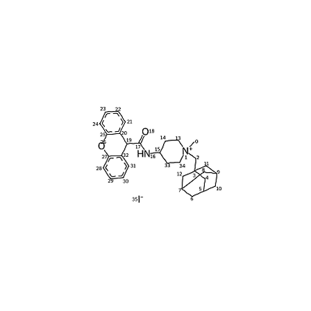 C[N+]1(CC23CC4CC(CC(C4)C2)C3)CCC(NC(=O)C2c3ccccc3Oc3ccccc32)CC1.[I-]